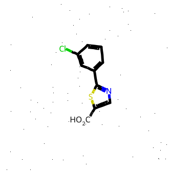 O=C(O)c1cnc(-c2cccc(Cl)c2)s1